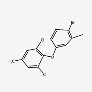 Cc1cc(Oc2c(Cl)cc(C(F)(F)F)cc2Cl)ccc1Br